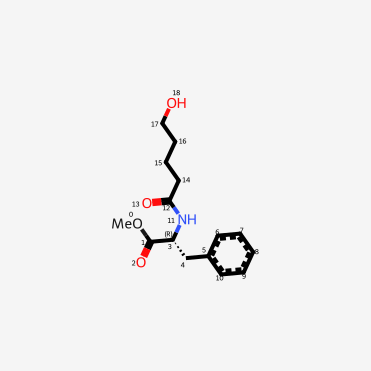 COC(=O)[C@@H](Cc1ccccc1)NC(=O)CCCCO